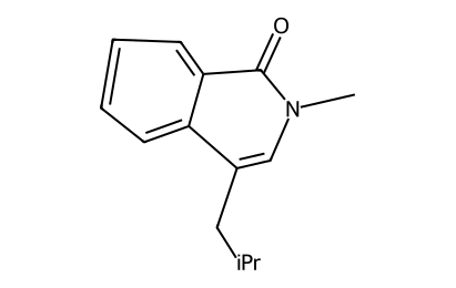 CC(C)Cc1cn(C)c(=O)c2ccccc12